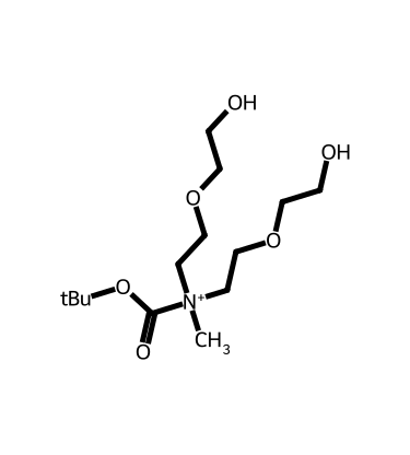 CC(C)(C)OC(=O)[N+](C)(CCOCCO)CCOCCO